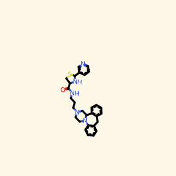 O=C(NCCCN1CCN2c3ccccc3Cc3ccccc3C2C1)C1CSC(c2cccnc2)N1